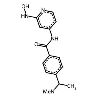 CNC(C)c1ccc(C(=O)Nc2ccnc(NO)c2)cc1